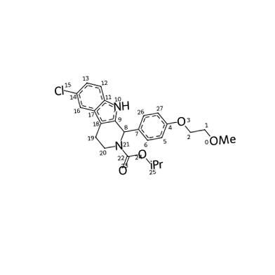 COCCOc1ccc(C2c3[nH]c4ccc(Cl)cc4c3CCN2C(=O)OC(C)C)cc1